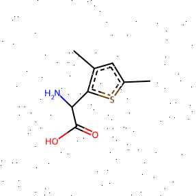 Cc1cc(C)c(C(N)C(=O)O)s1